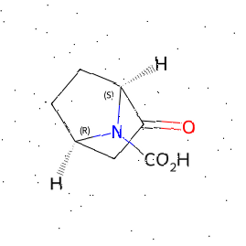 O=C1C[C@H]2CC[C@@H]1N2C(=O)O